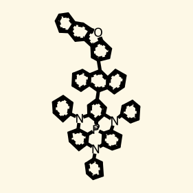 S=P12c3c4cccc3N(c3ccccc3)c3cc(-c5c6ccccc6c(-c6ccc7oc8cc9ccccc9cc8c7c6)c6ccccc56)cc(c31)N(c1ccccc1)c1cccc(c12)N4c1ccccc1